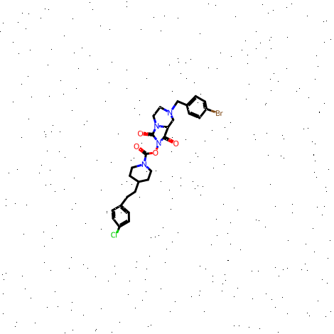 O=C(ON1C(=O)C2CN(Cc3ccc(Br)cc3)CCN2C1=O)N1CCC(CCc2ccc(Cl)cc2)CC1